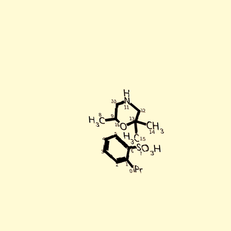 CC(C)c1ccccc1S(=O)(=O)O.CC1CNCC(C)(C)O1